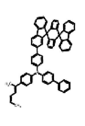 C/C=C\C=C(/C)c1ccc(N(c2ccc(-c3ccccc3)cc2)c2ccc(-c3ccc4c(c3)C3(c5ccccc5-4)c4ccccc4C4(c5ccccc5-c5ccccc54)c4ccccc43)cc2)cc1